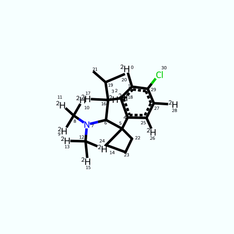 [2H]c1c([2H])c(C2(C(N(C([2H])([2H])[2H])C([2H])([2H])[2H])C([2H])([2H])C(C)C)CCC2)c([2H])c([2H])c1Cl